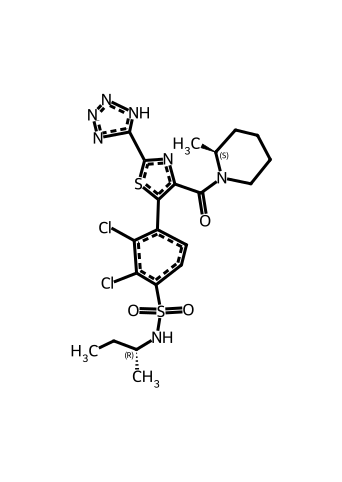 CC[C@@H](C)NS(=O)(=O)c1ccc(-c2sc(-c3nnn[nH]3)nc2C(=O)N2CCCC[C@@H]2C)c(Cl)c1Cl